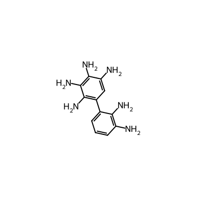 Nc1cccc(-c2cc(N)c(N)c(N)c2N)c1N